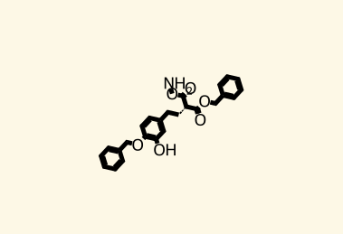 NOC(=O)[C@@H](CCc1ccc(OCc2ccccc2)c(O)c1)C(=O)OCc1ccccc1